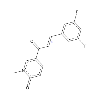 Cn1cc(C(=O)/C=C/c2cc(F)cc(F)c2)ccc1=O